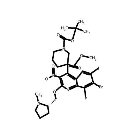 COC(=O)C1(c2c([N+](=O)[O-])c(OC[C@@H]3CCCN3C)nc3c(F)c(Br)c(I)cc23)CCCN(C(=O)OC(C)(C)C)C1